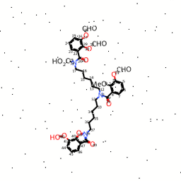 COc1c(OC=O)cccc1C(=O)N(CCCCCCN(C(=O)O)C(=O)c1cccc(OC=O)c1OC=O)CCCCCCn1oc2c(OO)cccc2c1=O